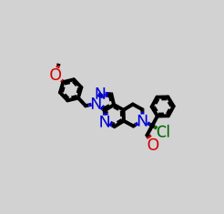 COc1ccc(Cn2ncc3c4c(cnc32)CN(C(Cl)(C=O)c2ccccc2)CC4)cc1